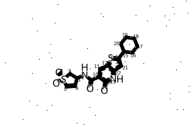 O=C(NC1C=CS(=O)(=O)C1)c1cc2sc(C3CCCCC3)cc2[nH]c1=O